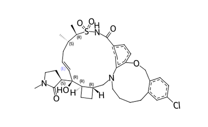 C[C@@H]1[C@@H](C)C/C=C/[C@@](O)([C@@H]2CCN(C)C2=O)[C@@H]2CC[C@H]2CN2CCCCc3cc(Cl)ccc3COc3ccc(cc32)C(=O)NS1(=O)=O